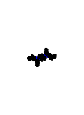 CC(C)(C)c1ccc2c(c1)c1cc3c(cc1n2-c1ccc2ccc4c(-n5c6ccc(C(C)(C)C)cc6c6cc7c(cc65)C(C)(C)c5ccccc5-7)ccc5ccc1c2c54)C(C)(C)c1ccccc1-3